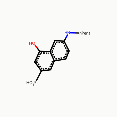 CCCCCNc1ccc2cc(S(=O)(=O)O)cc(O)c2c1